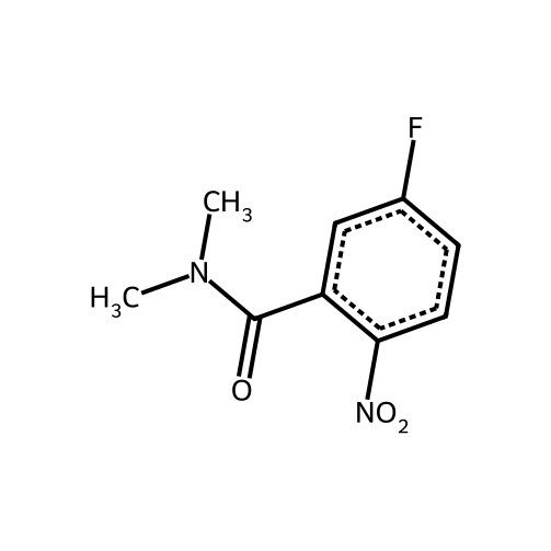 CN(C)C(=O)c1cc(F)ccc1[N+](=O)[O-]